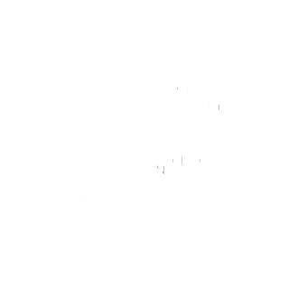 O=CN1CCC2=C(CC=C(O)C2)C1Cc1ccc(O)c(O)c1